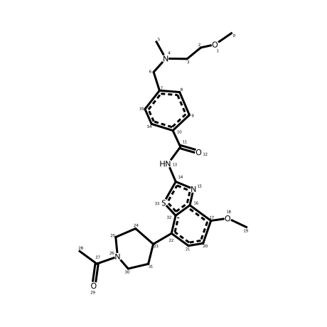 COCCN(C)Cc1ccc(C(=O)Nc2nc3c(OC)ccc(C4CCN(C(C)=O)CC4)c3s2)cc1